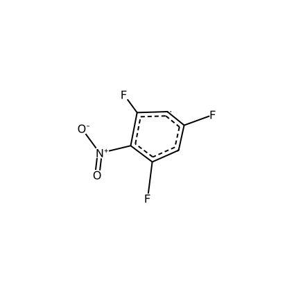 O=[N+]([O-])c1c(F)[c]c(F)cc1F